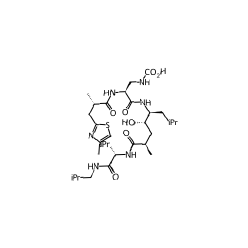 Cc1csc(C[C@H](C)C(=O)N[C@@H](CNC(=O)O)C(=O)N[C@@H](CC(C)C)[C@@H](O)C[C@@H](C)C(=O)N[C@H](C(=O)NCC(C)C)C(C)C)n1